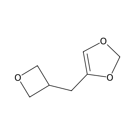 C1=C(CC2COC2)OCO1